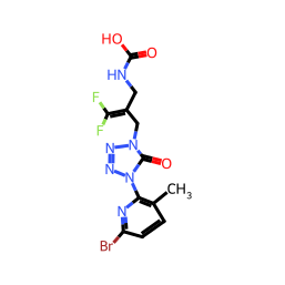 Cc1ccc(Br)nc1-n1nnn(CC(CNC(=O)O)=C(F)F)c1=O